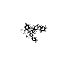 N[C@@H](Cn1c(=O)c2c(n(Cc3c(F)cccc3C(F)(F)F)c1=O)COC21CCN(Cc2ccccn2)CC1)c1ccccc1